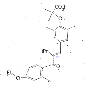 CCOc1ccc(C(=O)/C(=C/c2cc(C)c(OC(C)(C)C(=O)O)c(C)c2)C(C)C)c(C)c1